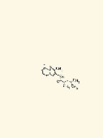 Cc1nc2c(F)cccc2cc1NC(=O)C(C)CC(C)C